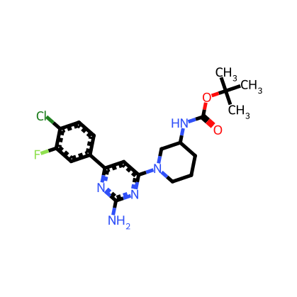 CC(C)(C)OC(=O)NC1CCCN(c2cc(-c3ccc(Cl)c(F)c3)nc(N)n2)C1